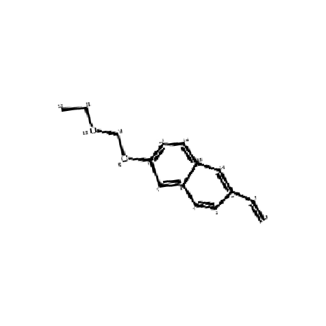 C=Cc1ccc2cc(OCOCC)ccc2c1